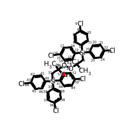 CC(C)(C[Si](c1ccc(Cl)cc1)(c1ccc(Cl)cc1)c1ccc(Cl)cc1)OOC(C)(C)C[Si](c1ccc(Cl)cc1)(c1ccc(Cl)cc1)c1ccc(Cl)cc1